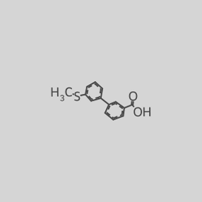 CSc1cccc(-c2cccc(C(=O)O)c2)c1